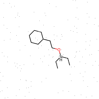 CC[SiH](CC)OCCC1CCCCC1